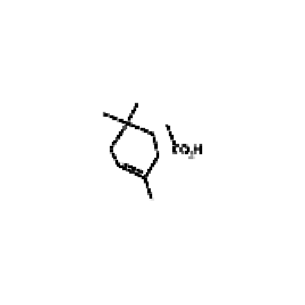 CC(=O)O.CC1=CCC(C)(C)CC1